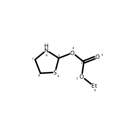 CCOC(=O)OC1NCCS1